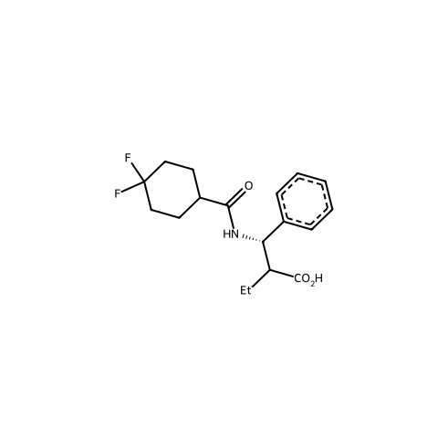 CCC(C(=O)O)[C@H](NC(=O)C1CCC(F)(F)CC1)c1ccccc1